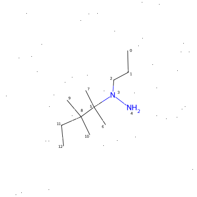 CCCN(N)C(C)(C)C(C)(C)CC